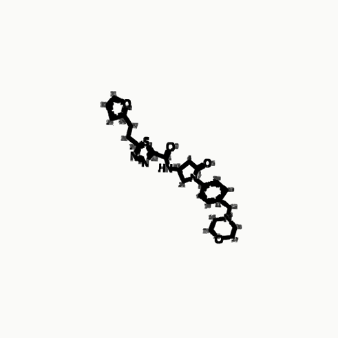 O=C(NC1CC(=O)N(c2ccc(CN3CCOCC3)cc2)C1)c1nnc(CCc2ccco2)s1